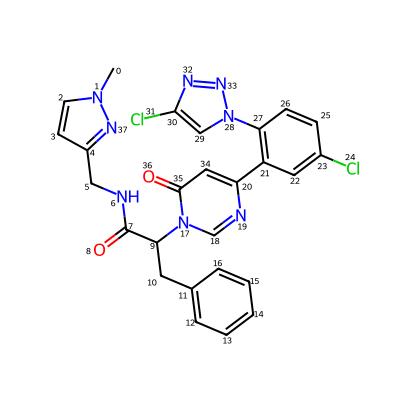 Cn1ccc(CNC(=O)C(Cc2ccccc2)n2cnc(-c3cc(Cl)ccc3-n3cc(Cl)nn3)cc2=O)n1